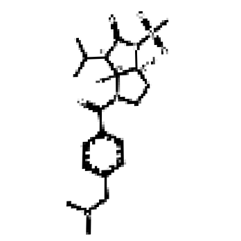 CC(C)[C@H]1C(=O)N(S(C)(=O)=O)[C@H]2CCN(C(=O)c3ccc(CN(C)C)cc3)[C@H]12